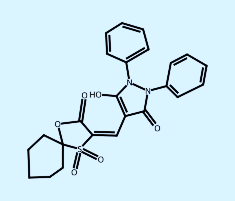 O=C1OC2(CCCCC2)S(=O)(=O)/C1=C/c1c(O)n(-c2ccccc2)n(-c2ccccc2)c1=O